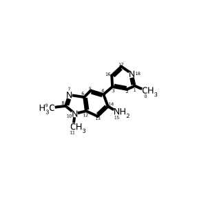 Cc1cc(-c2cc3nc(C)n(C)c3cc2N)ccn1